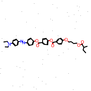 CCC(C)C(=O)OCCCCOc1ccc(C(=O)Oc2ccc(C(=O)Oc3ccc(N=Nc4ccc(N(CC)CC)cc4)cc3)cc2)cc1